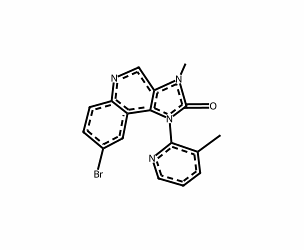 Cc1cccnc1-n1c(=O)n(C)c2cnc3ccc(Br)cc3c21